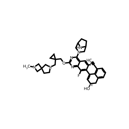 C#Cc1cccc2c1C(c1c(F)cc3c(N4CC5CCC(C4)N5)nc(OCC4(CN5CCC6(CN(C)C6)C5)CC4)nc3c1F)=C[C@H](O)C2